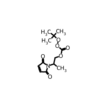 CC(COC(=O)OOC(C)(C)C)N1C(=O)C=CC1=O